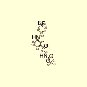 CC(C)(C)OC(=O)NCCC(=O)c1cccc(NCC2CCC(F)(F)CC2)c1